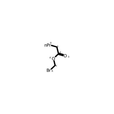 CCCCC(=O)OCBr